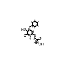 N#Cc1c(Cc2ccccc2)nc(SCC(=O)NO)[nH]c1=O